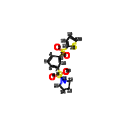 O=S(=O)(c1cccc(S(=O)(=O)N2CCCC2)c1)c1cc[c]s1